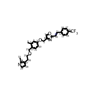 Cc1cc(OCc2coc(/C=C/c3ccc(C(F)(F)F)cc3)n2)ccc1COCCc1ccnn1C